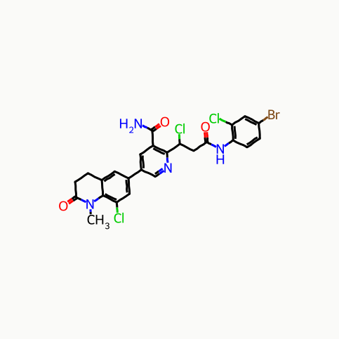 CN1C(=O)CCc2cc(-c3cnc(C(Cl)CC(=O)Nc4ccc(Br)cc4Cl)c(C(N)=O)c3)cc(Cl)c21